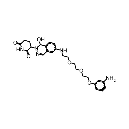 Nc1c#ccc(OCCOCCOCCNc2ccc3c(c2)C=NN(C2CCC(=O)NC2=O)C3O)c1